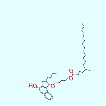 CCCCCCCCCCCCCC(C)CCCC(=O)OCCCCCOC1C(CCCC)=Cc2c(O)cc3ccccc3c21